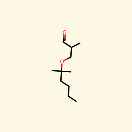 CCCCC(C)(C)OCC(C)C=O